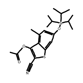 CC(=O)Oc1c(C#N)sc2cc(O[Si](C(C)C)(C(C)C)C(C)C)cc(C)c12